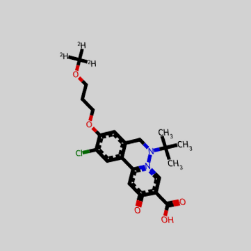 [2H]C([2H])([2H])OCCCOc1cc2c(cc1Cl)-c1cc(=O)c(C(=O)O)cn1N(C(C)(C)C)C2